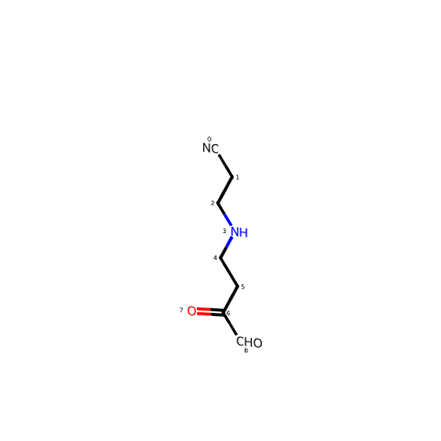 N#CCCNCCC(=O)C=O